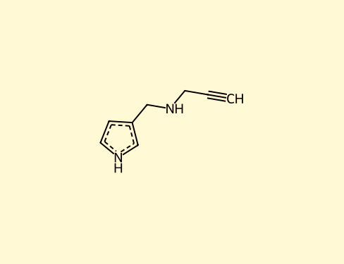 C#CCNCc1cc[nH]c1